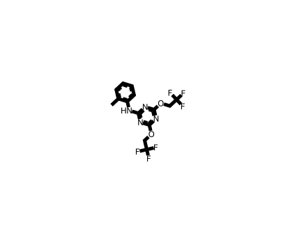 Cc1ccccc1Nc1nc(OCC(F)(F)F)nc(OCC(F)(F)F)n1